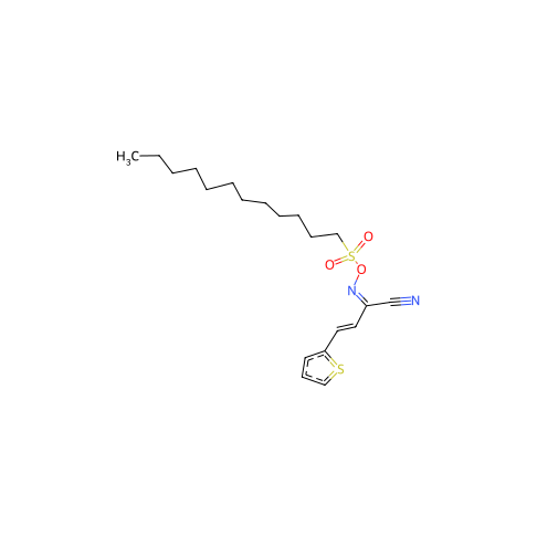 CCCCCCCCCCCCS(=O)(=O)ON=C(C#N)C=Cc1cccs1